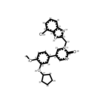 COc1ccc(-c2cnc(=O)n(Cc3nc4cccc(Cl)c4o3)c2)cc1OC1CCCC1